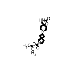 CC(C)OC(=O)N1CCC2(CC(N3CCC4(CC3)CNC(=O)O4)C2)C1